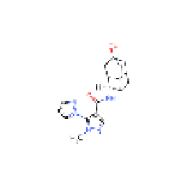 Cn1ncc(C(=O)N[C@H]2C3CC4CC2C[C@@](O)(C4)C3)c1-n1cccn1